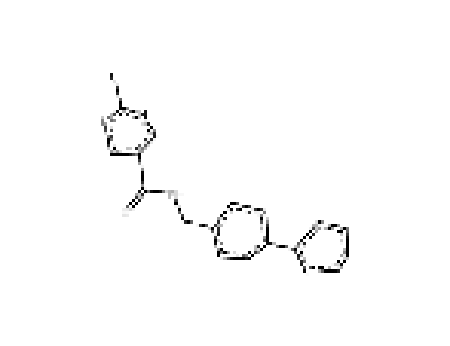 O=C(NCc1ccc(-c2ccccc2)cc1)c1cnc(Cl)nc1